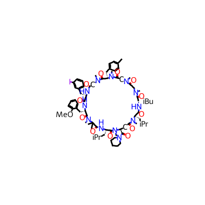 CC[C@H](C)[C@@H]1NC(=O)[C@H](CC(C)C)N(C)C(=O)C[C@@H](C(=O)N2CCCCC2)N(C)C(=O)[C@H](CC(C)C)NC(=O)C(C)(C)N(C)C(=O)[C@H](Cc2ccccc2OC)NC(=O)[C@H](Cc2cccc(I)c2)NC(=O)CN(C)C(=O)[C@H](Cc2ccc(C)cc2)N(C)C(=O)CN(C)C(=O)CN(C)C1=O